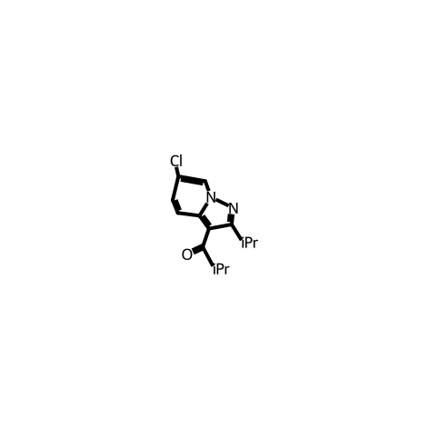 CC(C)C(=O)c1c(C(C)C)nn2cc(Cl)ccc12